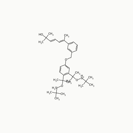 CC(=CC=CC(C)(C)O)c1cccc(COc2ccc(C(C)(C)O[SiH2]C(C)(C)C)c(C(C)(C)O[SiH2]C(C)(C)C)c2)c1